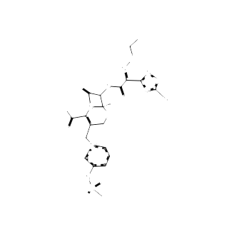 CCON=C(C(=O)NC1C(=O)N2C(C(=O)[O-])=C(C[n+]3cccc(NS(C)(=O)=O)c3)CS[C@@H]12)c1nsc(N)n1